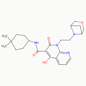 CC1(C)CCC(NC(=O)c2c(O)c3cccnc3n(CCN3C4COCC3C4)c2=O)CC1